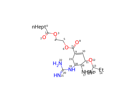 CCCCCCCC(=O)OCCOC(=O)C1=CC(OC(CC)CC)C(NC(C)=O)C(NC(=N)N)C1